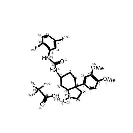 COc1ccc(C23CCC(NC(=O)Nc4cc(F)ccc4F)CC2N(C)CC3)cc1OC.O=C(O)C(F)(F)F